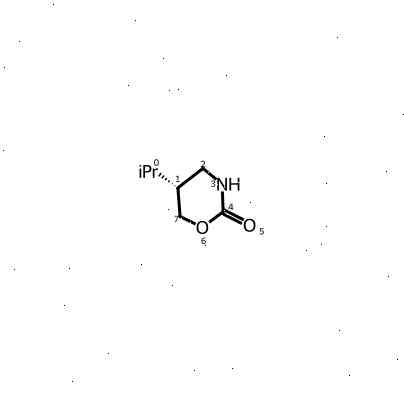 CC(C)[C@@H]1CNC(=O)OC1